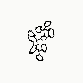 c1ccc(N(c2ccccc2)c2cccc3c2oc2c(-c4ccc5c(c4)C(c4ccccc4)(c4ccccc4)c4ccccc4-5)c4ccccc4cc23)cc1